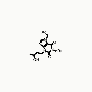 CCCCn1c(=O)c2c(ncn2CC(C)=O)n(CCC(C)O)c1=O